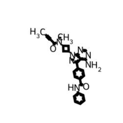 CC#CC(=O)N(C)[C@H]1C[C@@H](n2nc(-c3ccc(C(=O)Nc4ccccc4)cc3)c3c(N)ncnc32)C1